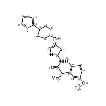 CO[C@H](C(=O)Nc1nnc(NC2CCC(c3cccnn3)CC2)s1)c1cc(OC(F)(F)F)ccc1F